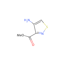 COC(=O)c1nscc1N